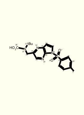 Cc1ccc(S(=O)(=O)n2ccc3nc(CN(C(=O)O)C(C)(C)C)cnc32)cc1